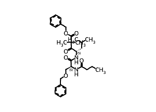 CCCC(=O)N[C@@H](COCc1ccccc1)C(=O)N[C@@H](CC(C)C)C(=O)C(C)(C)C(=O)OCc1ccccc1